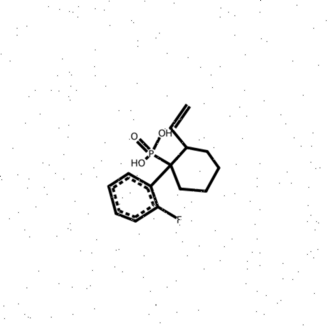 C=CC1CCCCC1(c1ccccc1F)P(=O)(O)O